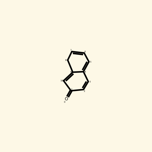 O=C1C=CC2=CC=CCC2=C1